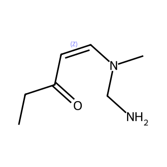 CCC(=O)/C=C\N(C)CN